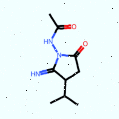 CC(=O)NN1C(=N)C(C(C)C)CC1=O